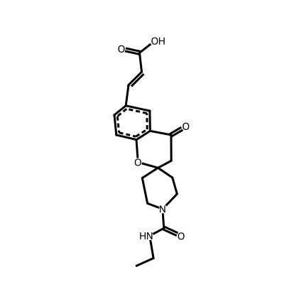 CCNC(=O)N1CCC2(CC1)CC(=O)c1cc(C=CC(=O)O)ccc1O2